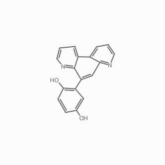 Oc1ccc(O)c(-c2cc3ncccc3c3cccnc23)c1